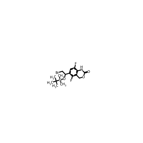 CC(C)(C)[Si](C)(C)OC(CBr)c1cc(F)c2c(c1F)COC(=O)N2